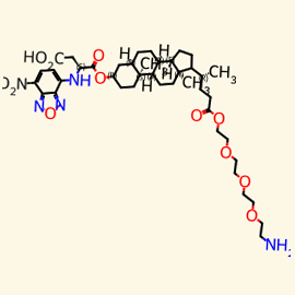 C[C@H](CCC(=O)OCCOCCOCCOCCN)C1CC[C@H]2[C@@H]3CC[C@@H]4C[C@H](OC(=O)[C@H](CC(=O)O)Nc5ccc([N+](=O)[O-])c6nonc56)CC[C@]4(C)[C@H]3CC[C@]12C